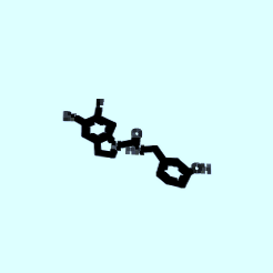 O=C(NCc1cccc(O)c1)N1CCc2cc(Br)c(F)cc21